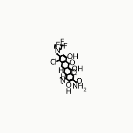 CCN(Cc1cc(O)c2c(c1Cl)C[C@H]1C[C@H]3[C@H](N(C)C)C(O)=C(C(N)=O)C[C@@]3(OC)C(O)=C1C2=O)CC(F)(F)F